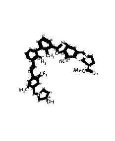 COC(=O)[C@@H]1CCN(Cc2cc(C#N)c3oc(-c4cccc(-c5cccc(/C=C/c6cc(C)c(CN7CC[C@@H](O)C7)cc6C(F)(F)F)c5C)c4C)nc3c2)C1